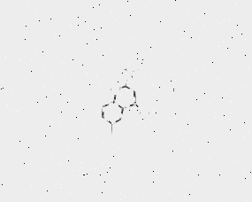 Cc1ccc2oc(N(C)C)cc(=O)c2c1